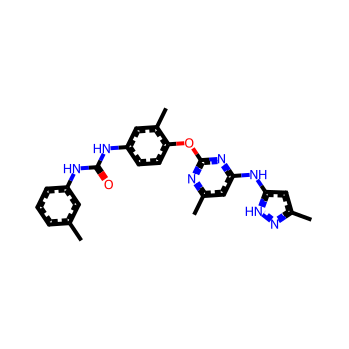 Cc1cccc(NC(=O)Nc2ccc(Oc3nc(C)cc(Nc4cc(C)n[nH]4)n3)c(C)c2)c1